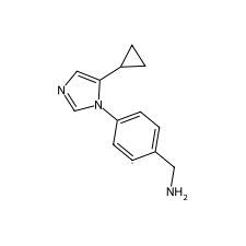 NCc1[c]cc(-n2cncc2C2CC2)cc1